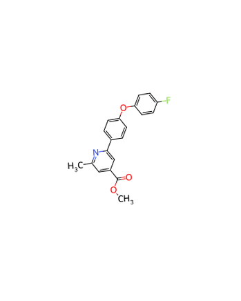 COC(=O)c1cc(C)nc(-c2ccc(Oc3ccc(F)cc3)cc2)c1